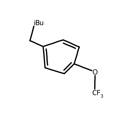 CCC(C)Cc1ccc(OC(F)(F)F)cc1